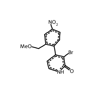 COCc1cc([N+](=O)[O-])ccc1-c1cc[nH]c(=O)c1Br